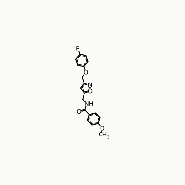 COc1ccc(C(=O)NCc2cc(COc3ccc(F)cc3)no2)cc1